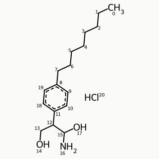 CCCCCCCCc1ccc(C(CO)C(N)O)cc1.Cl